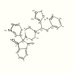 O=C1c2ccccc2C(=O)C1(c1cccnc1)N1CCN(C(Cc2ccccc2)C2=COCO2)CC1